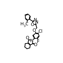 Cc1ccccc1-c1nnc(COc2cc(N3C(=O)C4=C(CCCC4)C3=O)c(F)cc2Cl)o1